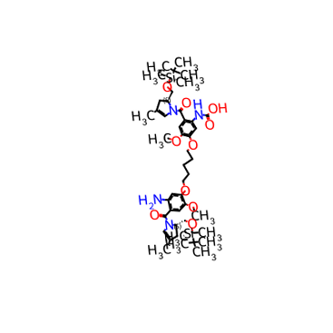 COc1cc(C(=O)N2C=C(C)C[C@H]2CO[Si](C)(C)C(C)(C)C)c(N)cc1OCCCCCOc1cc(NC(=O)O)c(C(=O)N2C=C(C)C[C@H]2CO[Si](C)(C)C(C)(C)C)cc1OC